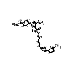 Cc1cccc(-c2cnn(CCCCCCNC(=O)c3nn(C4CCN(C(=O)OC(C)(C)C)CC4)cc3N)c2)n1